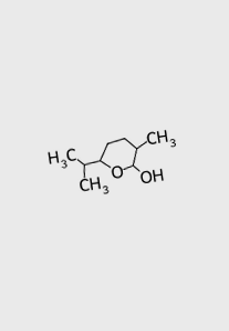 CC(C)C1CCC(C)C(O)O1